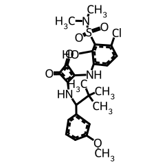 COc1cccc(C(Nc2c(Nc3ccc(Cl)c(S(=O)(=O)N(C)C)c3O)c(=O)c2=O)C(C)(C)C)c1